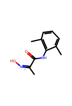 C/C(=N/O)C(=O)Nc1c(C)cccc1C